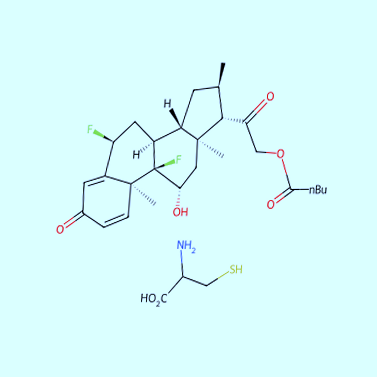 CCCCC(=O)OCC(=O)[C@H]1[C@H](C)C[C@H]2[C@@H]3C[C@H](F)C4=CC(=O)C=C[C@]4(C)[C@@]3(F)[C@@H](O)C[C@@]21C.NC(CS)C(=O)O